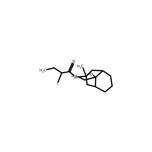 CCC(I)C(=O)OC1(C)CC2CCCC(C1)C2(O)CC